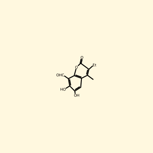 CCc1c(C)c2cc(O)c(O)c(C=O)c2oc1=O